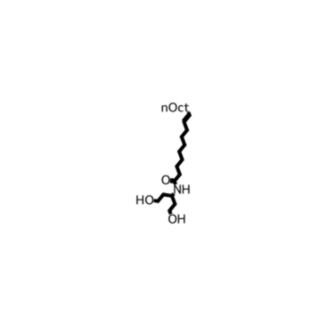 CCCCCCCCC=CCCCCCCCC(=O)NC(CCO)CCO